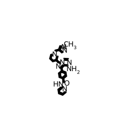 Cn1cc(CN2CCCC(c3nc(-c4ccc(C(=O)Nc5ccccn5)cc4)c4c(N)nccn34)C2)cn1